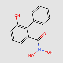 O=C(c1cccc(O)c1-c1ccccc1)N(O)O